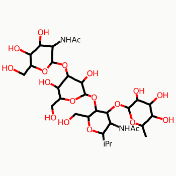 CC(=O)NC1C(OC2C(O)C(CO)OC(OC3C(CO)OC(C(C)C)C(NC(C)=O)C3OC3OC(C)C(O)C(O)C3O)C2O)OC(CO)C(O)C1O